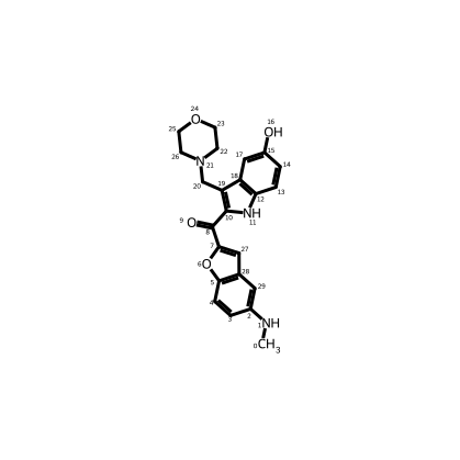 CNc1ccc2oc(C(=O)c3[nH]c4ccc(O)cc4c3CN3CCOCC3)cc2c1